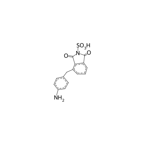 Nc1ccc(Cc2cccc3c2C(=O)N(S(=O)(=O)O)C3=O)cc1